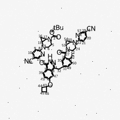 CC(C)(C)OC(=O)N1CCN(c2ccc(C#N)cn2)C2CC21.N#Cc1ccc(N2CCN(C(=O)c3cc(Cc4n[nH]c(=O)c5ccc(OC6CCC6)cc45)ccc3F)C3CC32)nc1